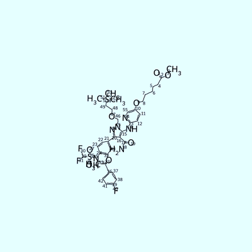 COC(=O)CCCCCOc1ccc(Nc2c(C(N)=O)c(-c3ccc(NS(=O)(=O)C(F)F)c(OC(C)c4ccc(F)cc4)c3)nn2COCC[Si](C)(C)C)nc1